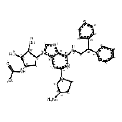 CCC(=O)N[C@H]1CC(n2cnc3c(NCC(c4ccccc4)c4ccccc4)nc(N4CC[C@@H](N)C4)nc32)C(O)[C@@H]1O